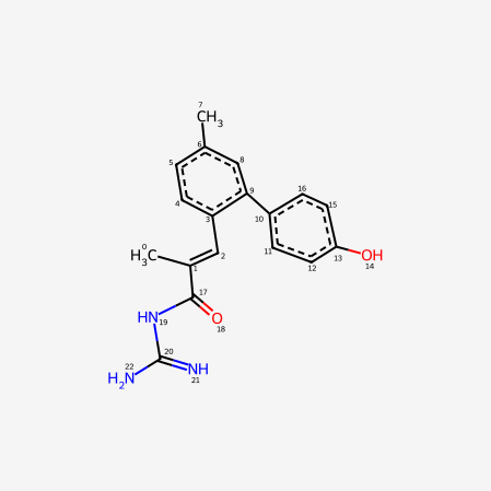 C/C(=C\c1ccc(C)cc1-c1ccc(O)cc1)C(=O)NC(=N)N